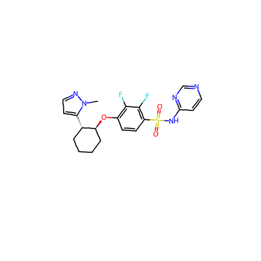 Cn1nccc1[C@H]1CCCC[C@@H]1Oc1ccc(S(=O)(=O)Nc2ccncn2)c(F)c1F